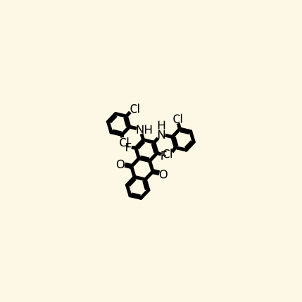 O=C1c2ccccc2C(=O)c2c(F)c(Nc3c(Cl)cccc3Cl)c(Nc3c(Cl)cccc3Cl)c(F)c21